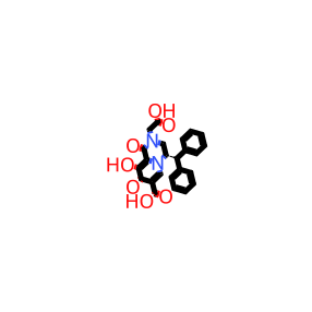 O=C(O)CN1C[C@H](C(c2ccccc2)c2ccccc2)n2cc(C(=O)O)c(=O)c(O)c2C1=O